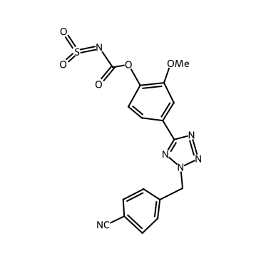 COc1cc(-c2nnn(Cc3ccc(C#N)cc3)n2)ccc1OC(=O)N=S(=O)=O